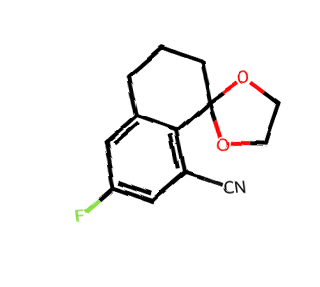 N#Cc1cc(F)cc2c1C1(CCC2)OCCO1